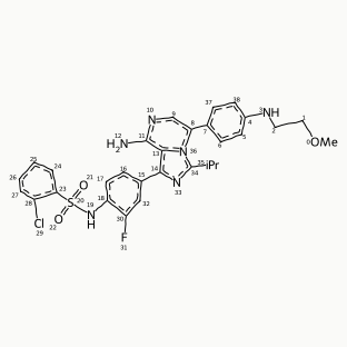 COCCNc1ccc(-c2cnc(N)c3c(-c4ccc(NS(=O)(=O)c5ccccc5Cl)c(F)c4)nc(C(C)C)n23)cc1